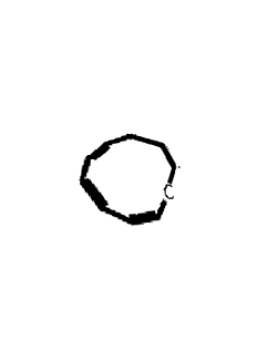 [CH]1CC=CC=CC=CCC1